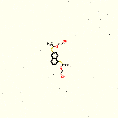 CC(OCCO)Sc1ccc2c(SC(C)OCCO)cccc2c1